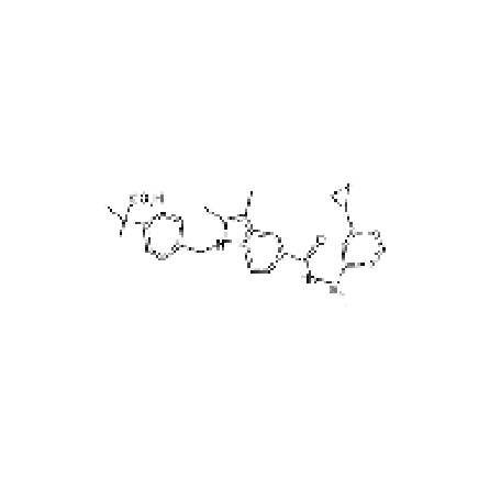 Cc1c(C)n(Cc2ccc(C(C)(C)C(=O)O)cc2)c2ccc(C(=O)N[C@@H](C)c3cccc(C4CC4)c3)cc12